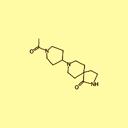 CC(=O)N1CCC(N2CCC3(CCNC3=O)CC2)CC1